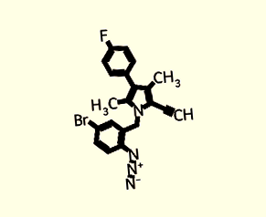 C#Cc1c(C)c(-c2ccc(F)cc2)c(C)n1Cc1cc(Br)ccc1N=[N+]=[N-]